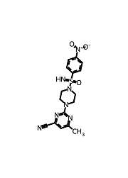 Cc1cc(C#N)nc(N2CCN(S(=N)(=O)c3ccc([N+](=O)[O-])cc3)CC2)n1